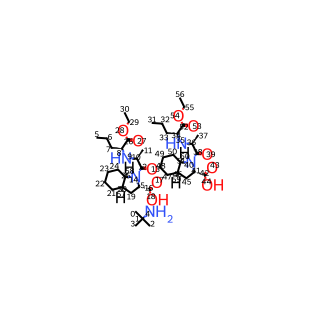 CC(C)(C)N.CCC[C@H](N[C@@H](C)C(=O)N1[C@H](C(=O)O)C[C@@H]2CCCC[C@@H]21)C(=O)OCC.CCC[C@H](N[C@@H](C)C(=O)N1[C@H](C(=O)O)C[C@@H]2CCCC[C@@H]21)C(=O)OCC